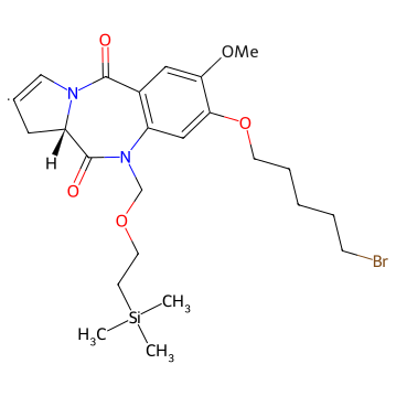 COc1cc2c(cc1OCCCCCBr)N(COCC[Si](C)(C)C)C(=O)[C@@H]1C[C]=CN1C2=O